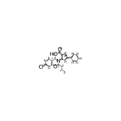 CCCC(=O)N(Cc1ccc(Cl)cc1)c1cc(-c2ccccc2)sc1C(=O)O